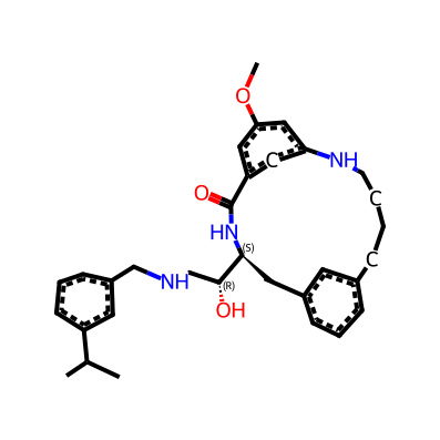 COc1cc2cc(c1)C(=O)N[C@H]([C@H](O)CNCc1cccc(C(C)C)c1)Cc1cccc(c1)CCCCN2